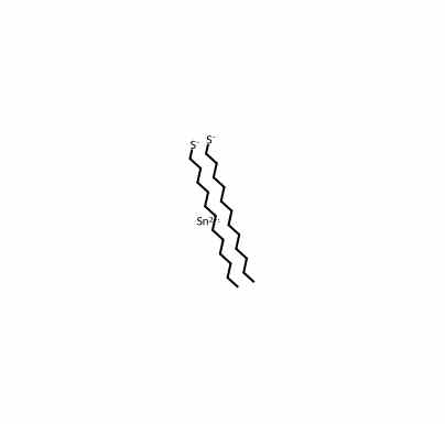 CCCCCCCCCCCC[S-].CCCCCCCCCCCC[S-].[Sn+2]